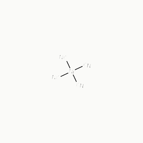 N#[C][Ni]([C]#N)([C]#N)[C]#N